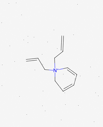 C=CC[N+]1(CC=C)C=CC=CC1